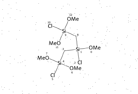 CO[Si](Cl)(C[Si](Cl)(OC)OC)C[Si](Cl)(OC)OC